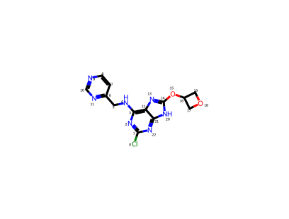 Clc1nc(NCc2ccncn2)c2nc(OC3COC3)[nH]c2n1